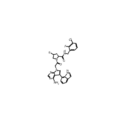 Nc1ncnc2c1c(-c1cccc3cc[nH]c13)cn2CC(=O)N1CC(F)CC1C(=O)NCc1cccc(Cl)c1F